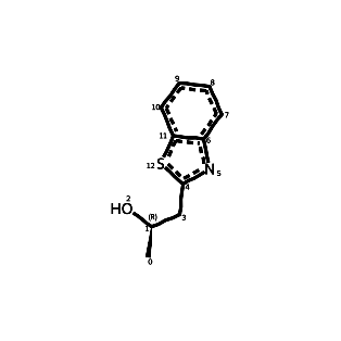 C[C@@H](O)Cc1nc2ccccc2s1